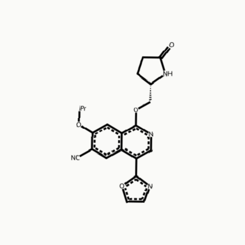 CC(C)Oc1cc2c(OC[C@@H]3CCC(=O)N3)ncc(-c3ncco3)c2cc1C#N